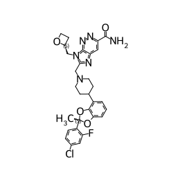 C[C@]1(c2ccc(Cl)cc2F)Oc2cccc(C3CCN(Cc4nc5cc(C(N)=O)nnc5n4C[C@@H]4CCO4)CC3)c2O1